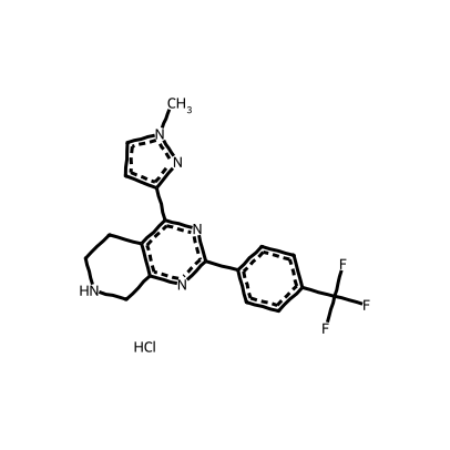 Cl.Cn1ccc(-c2nc(-c3ccc(C(F)(F)F)cc3)nc3c2CCNC3)n1